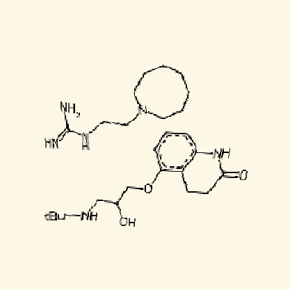 CC(C)(C)NCC(O)COc1cccc2c1CCC(=O)N2.N=C(N)NCCN1CCCCCCC1